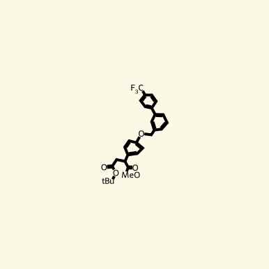 COC(=O)C(CC(=O)OC(C)(C)C)c1ccc(OCc2cccc(-c3ccc(C(F)(F)F)cc3)c2)cc1